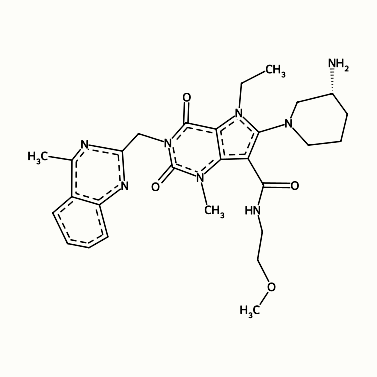 CCn1c(N2CCC[C@@H](N)C2)c(C(=O)NCCOC)c2c1c(=O)n(Cc1nc(C)c3ccccc3n1)c(=O)n2C